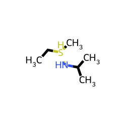 CC[SH](C)NC(C)C